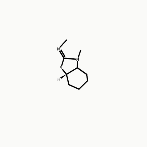 C/N=C1/S[C@H]2CCCCC2N1C